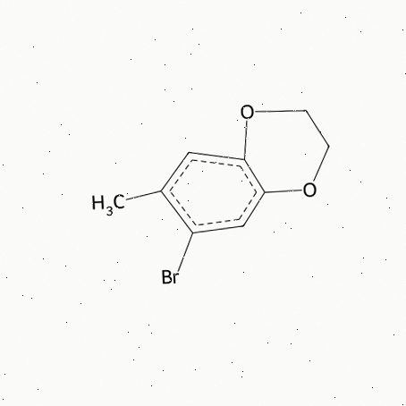 Cc1cc2c(cc1Br)OCCO2